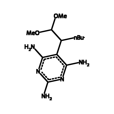 CCC[CH]C(c1c(N)nc(N)nc1N)C(OC)OC